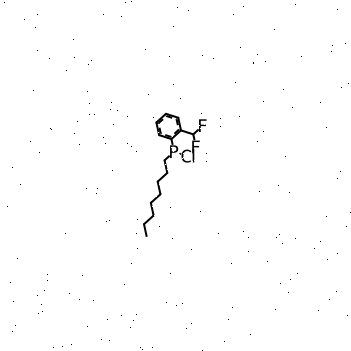 CCCCCCCC[P@@](Cl)c1ccccc1C(F)F